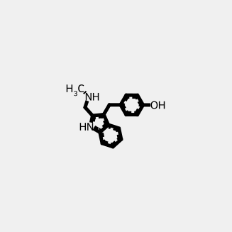 CNCc1[nH]c2ccccc2c1Cc1ccc(O)cc1